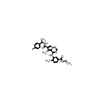 CONC(=O)c1ccc(C)c(Nc2ncnn3cc(C(=O)NC(C)c4ccc(F)cc4)c(C)c23)c1